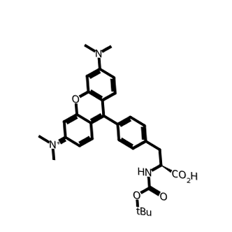 CN(C)c1ccc2c(-c3ccc(C[C@H](NC(=O)OC(C)(C)C)C(=O)O)cc3)c3ccc(=[N+](C)C)cc-3oc2c1